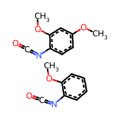 COc1ccc(N=C=O)c(OC)c1.COc1ccccc1N=C=O